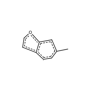 Cc1c[c]c2ccoc2c1